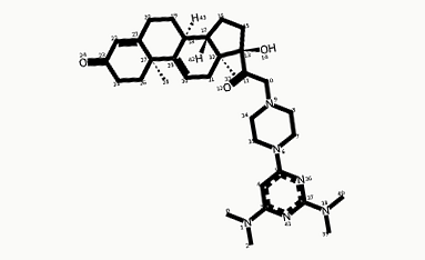 CN(C)c1cc(N2CCN(CC(=O)[C@@]3(O)CC[C@H]4[C@@H]5CCC6=CC(=O)CC[C@]6(C)C5=CC[C@@]43C)CC2)nc(N(C)C)n1